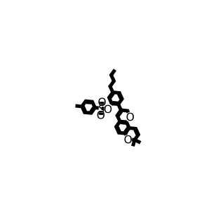 CCCCc1ccc(C2=Cc3ccc4c(c3OC2)C=CC(C)(C)O4)c(OS(=O)(=O)c2ccc(C)cc2)c1